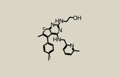 Cc1cccc(CNc2nc(NCCO)nc3sc(C)c(-c4ccc(F)cc4)c23)n1